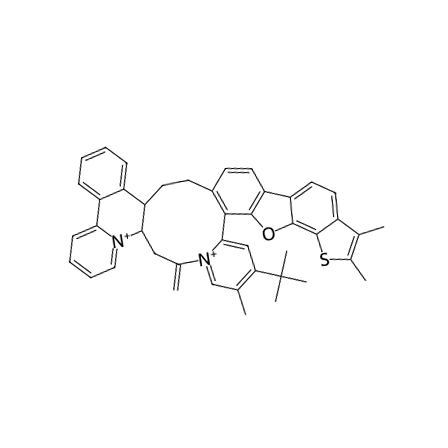 C=C1CC2C(CCc3ccc4c(oc5c4ccc4c(C)c(C)sc45)c3-c3cc(C(C)(C)C)c(C)c[n+]31)c1ccccc1-c1cccc[n+]12